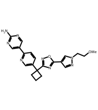 COCCn1cc(-c2nc(C3(c4ccc(-c5cnc(N)nc5)nc4)CCC3)no2)cn1